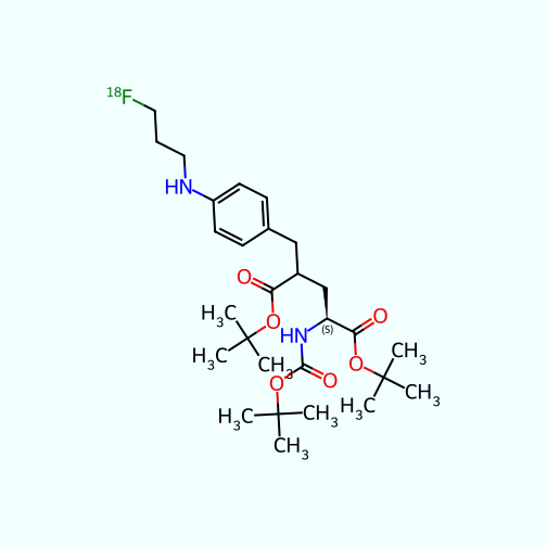 CC(C)(C)OC(=O)N[C@@H](CC(Cc1ccc(NCCC[18F])cc1)C(=O)OC(C)(C)C)C(=O)OC(C)(C)C